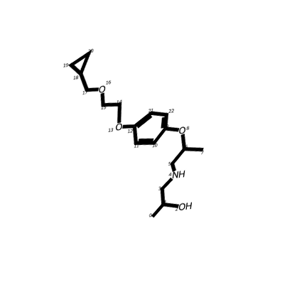 CC(O)CNCC(C)Oc1ccc(OCCOCC2CC2)cc1